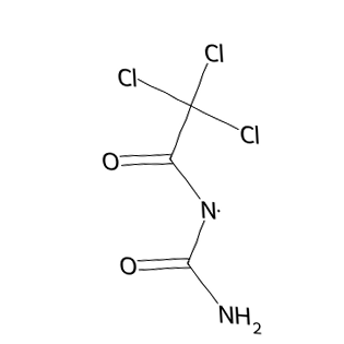 NC(=O)[N]C(=O)C(Cl)(Cl)Cl